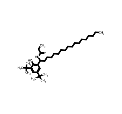 CCCCCCCCCCCCCCCCCC(NC(=O)CC)c1cc(C(C)(C)C)cc(C(C)(C)C)c1O